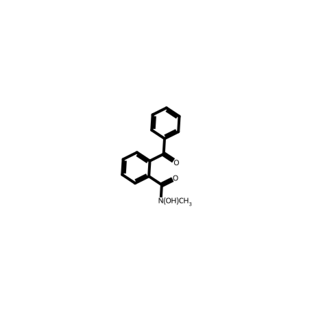 CN(O)C(=O)c1ccccc1C(=O)c1ccccc1